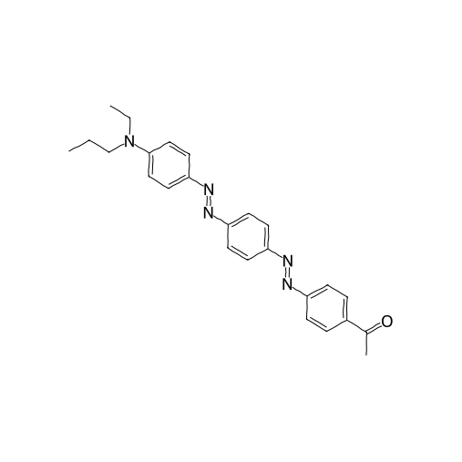 CCCN(CC)c1ccc(N=Nc2ccc(N=Nc3ccc(C(C)=O)cc3)cc2)cc1